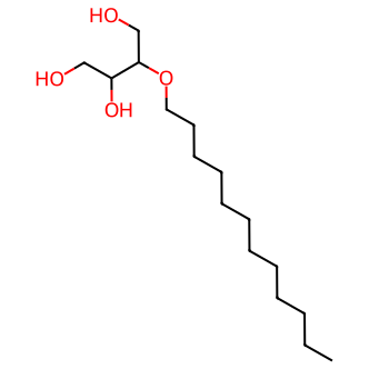 CCCCCCCCCCCCOC(CO)C(O)CO